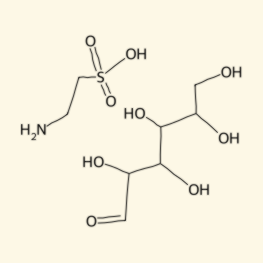 NCCS(=O)(=O)O.O=CC(O)C(O)C(O)C(O)CO